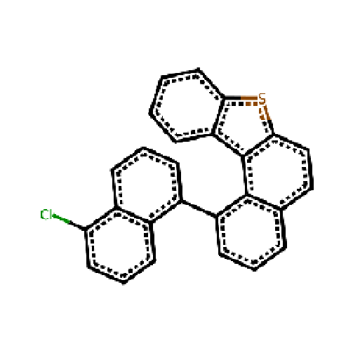 Clc1cccc2c(-c3cccc4ccc5sc6ccccc6c5c34)cccc12